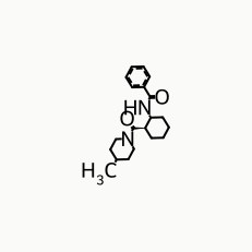 CC1CCN(C(=O)[C@@H]2CCCC[C@@H]2NC(=O)c2ccccc2)CC1